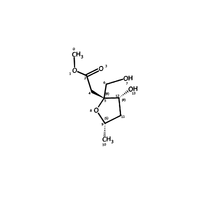 COC(=O)C[C@]1(CO)O[C@@H](C)C[C@H]1O